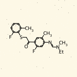 CCN(C)C=Nc1cc(F)c(C(=O)CSc2c(C)cccc2F)cc1C